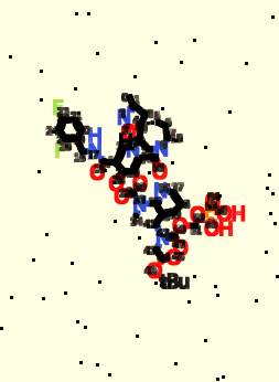 CC1=NO[C@@]2(CC[C@H](C)N3C[C@H]2n2cc(C(=O)NCc4ccc(F)cc4F)c(=O)c(OC(=O)N(C)c4ncccc4CN(CC(=O)OC(C)(C)C)C(=O)OCOP(=O)(O)O)c2C3=O)C1